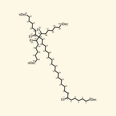 CCCCCCCCCCCCCCCC(CC)CCCCCCCCCCCCCCC[CH]CC(C(CC)CCCCCCCCCCCCCCC)(C(CC)CCCCCCCCCCCCCCC)C(CC)CCCCCCCCCCCCCCC